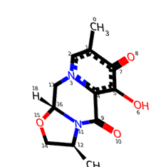 Cc1cn2c(c(O)c1=O)C(=O)N1[C@@H](C)CO[C@@H]1C2